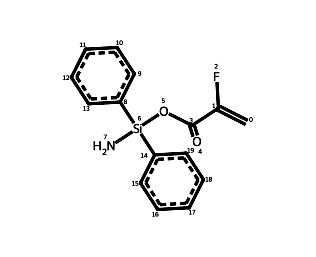 C=C(F)C(=O)O[Si](N)(c1ccccc1)c1ccccc1